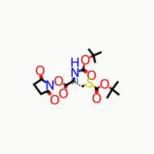 CC(C)(C)OC(=O)N[C@H](CSC(=O)OC(C)(C)C)C(=O)ON1C(=O)CCC1=O